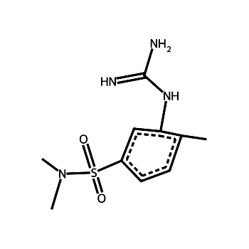 Cc1ccc(S(=O)(=O)N(C)C)cc1NC(=N)N